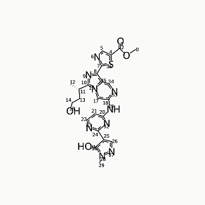 COC(=O)c1cnc(-c2nc([C@@H](C)CCO)n3cc(Nc4ccnc(-c5cnn(C)c5O)n4)ncc23)s1